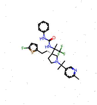 Cc1ccc(C(C)(C)N2CC[C@@](CCc3ccc(F)s3)(C(C)(NC(=O)Nc3ccccc3)C(F)(F)F)C2)cn1